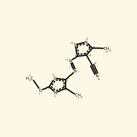 COc1nc(C)c(/N=N/c2snc(C)c2C#N)s1